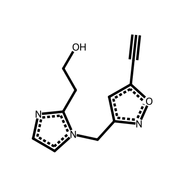 C#Cc1cc(Cn2ccnc2CCO)no1